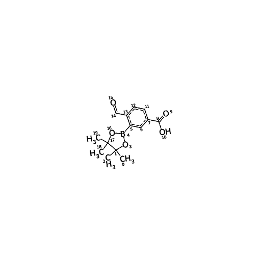 CC1(C)OB(c2cc(C(=O)O)ccc2C=O)OC1(C)C